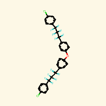 FC(F)(c1ccc(Cl)cc1)C(F)(F)C(F)(F)c1ccc(Oc2ccc(C(F)(F)C(F)(F)C(F)(F)c3ccc(Cl)cc3)cc2)cc1